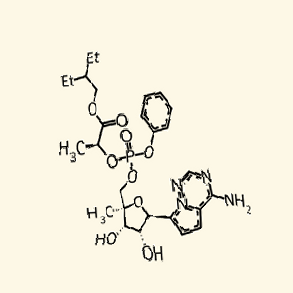 CCC(CC)COC(=O)[C@H](C)OP(=O)(OC[C@@]1(C)O[C@@H](c2ccc3c(N)ncnn23)[C@H](O)[C@@H]1O)Oc1ccccc1